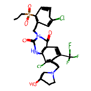 CCS(=O)(=O)c1ccc(Cl)cc1Cn1c(=O)[nH]c2c(Cl)c(CN3CCC(O)C3)c(C(F)(F)F)cc2c1=O